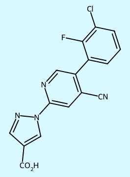 N#Cc1cc(-n2cc(C(=O)O)cn2)ncc1-c1cccc(Cl)c1F